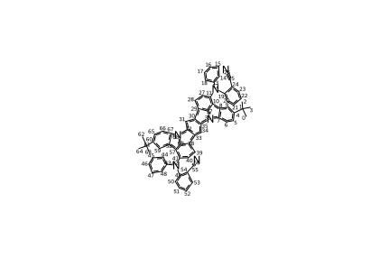 CC(C)(C)c1ccc2c(c1)c1c(N(c3ccccc3)c3ccccc3C#N)ccc3c4cc5c(cc4n2c31)c1ccc(N(c2ccccc2)c2ccccc2C#N)c2c3cc(C(C)(C)C)ccc3n5c12